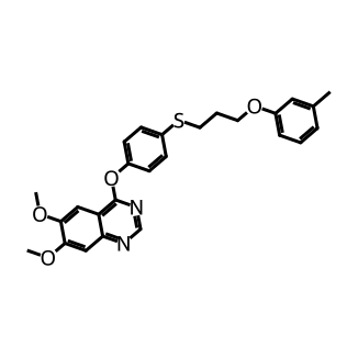 COc1cc2ncnc(Oc3ccc(SCCCOc4cccc(C)c4)cc3)c2cc1OC